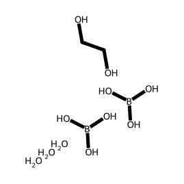 O.O.O.OB(O)O.OB(O)O.OCCO